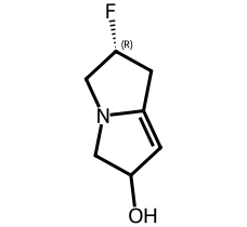 OC1C=C2C[C@@H](F)CN2C1